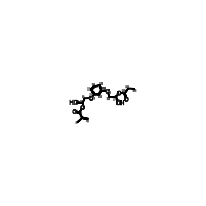 C=C(C)C(=O)OC(O)COc1cccc(OCC(O)OC(=O)CC)c1